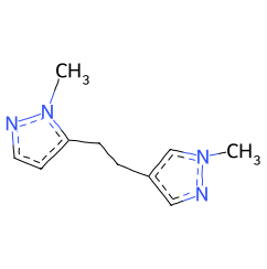 Cn1cc(CCc2ccnn2C)cn1